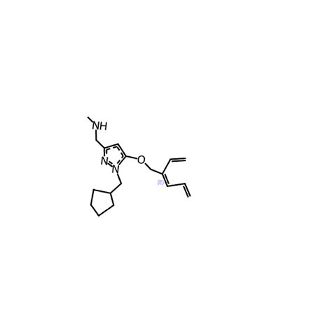 C=C/C=C(\C=C)COc1cc(CNC)nn1CC1CCCC1